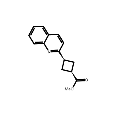 COC(=O)[C@H]1C[C@@H](c2ccc3ccccc3n2)C1